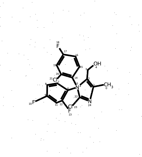 CC1=C(CO)[N+](c2ccc(F)cc2F)(c2ccc(F)cc2Cl)C(Cl)=N1